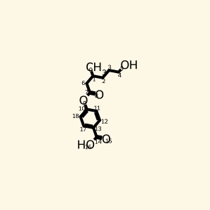 CC(CCCO)CC(=O)Oc1ccc(C(=O)O)cc1